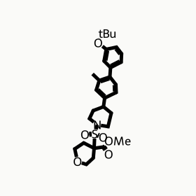 COC(=O)C1(S(=O)(=O)N2CCC(c3ccc(-c4cccc(OC(C)(C)C)c4)c(C)c3)CC2)CCOCC1